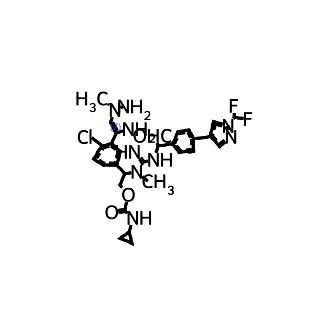 CN(N)/C=C(\N)c1cc(C(COC(=O)NC2CC2)N(C)C(=N)NC(C=O)c2ccc(-c3cnn(C(F)F)c3)cc2)ccc1Cl